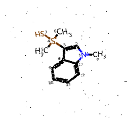 Cn1cc(S(C)(C)S)c2ccccc21